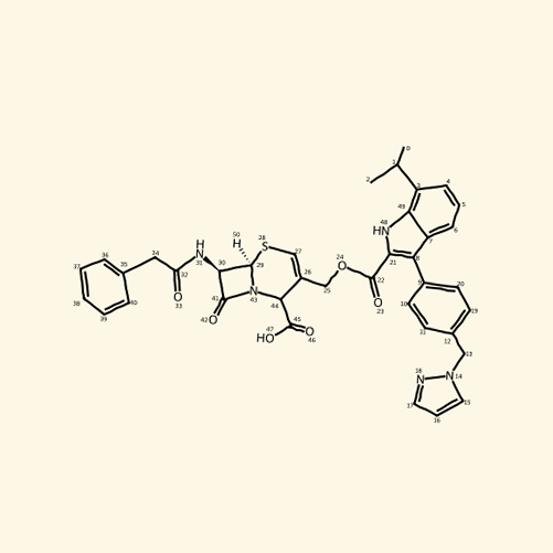 CC(C)c1cccc2c(-c3ccc(Cn4cccn4)cc3)c(C(=O)OCC3=CS[C@@H]4[C@H](NC(=O)Cc5ccccc5)C(=O)N4C3C(=O)O)[nH]c12